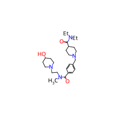 CCN(CC)C(=O)C1CCN(Cc2ccc(C(=O)N(C)CCN3CCC(O)CC3)cc2)CC1